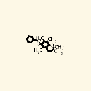 [CH2][C@]1(C)CCc2c(C)c(OCc3ccccc3)c(C)c(C)c2O1